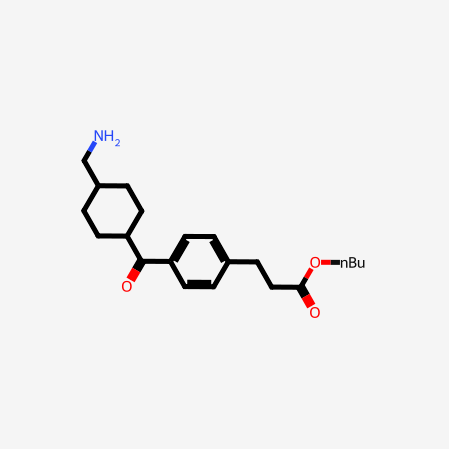 CCCCOC(=O)CCc1ccc(C(=O)C2CCC(CN)CC2)cc1